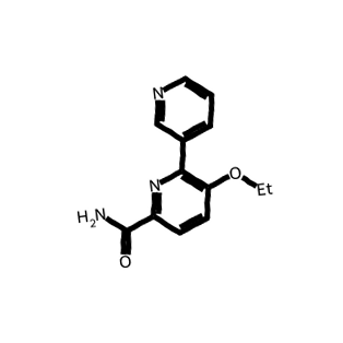 CCOc1ccc(C(N)=O)nc1-c1cccnc1